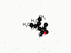 Cc1ccc(-c2ccc3c(c2)c2cc(-c4ccc(C)cc4C)ccc2n3-c2ccc(-c3cc(C(F)(F)F)cc(C(F)(F)F)c3)c(-c3nc(-c4ccccc4)nc(-c4ccccc4)n3)c2)c(C)c1